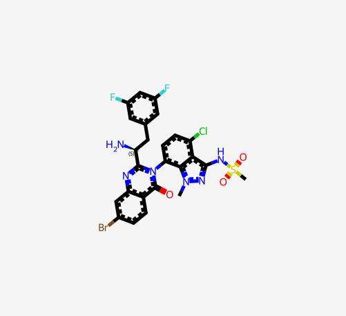 Cn1nc(NS(C)(=O)=O)c2c(Cl)ccc(-n3c([C@@H](N)Cc4cc(F)cc(F)c4)nc4cc(Br)ccc4c3=O)c21